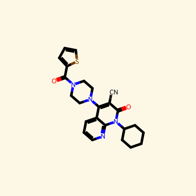 N#Cc1c(N2CCN(C(=O)c3cccs3)CC2)c2cccnc2n(C2CCCCC2)c1=O